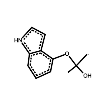 [CH2]C(C)(O)Oc1cccc2[nH]ccc12